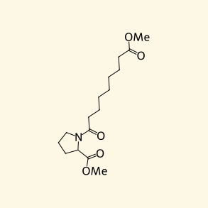 COC(=O)CCCCCCCC(=O)N1CCCC1C(=O)OC